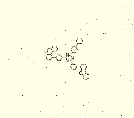 c1ccc(-c2ccc(-c3nc(-c4ccc(-c5cccc6c5-c5ccccc5CO6)cc4)nc(-c4cccc(-c5cccc6c5oc5ccccc56)c4)n3)cc2)cc1